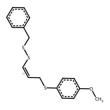 COc1ccc(SC/C=C\SSCc2ccccc2)cc1